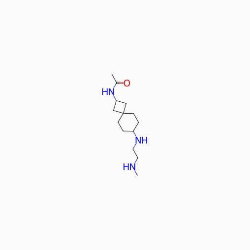 CNCCNC1CCC2(CC1)CC(NC(C)=O)C2